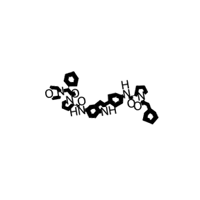 O=C(Nc1ccc(-c2cc3cc(NC(=O)[C@@H]4CCCN4C(=O)[C@@H](c4ccccc4)N4CCOCC4)ccc3[nH]2)cc1)[C@@H]1CCCN1C(=O)Cc1ccccc1